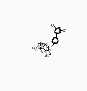 CCCCO[C@@H]([C@@H]1COC(C)(C)O1)[C@@H](Cc1ccc(-c2cc(Cl)cc(Cl)c2)cc1)N=[N+]=[N-]